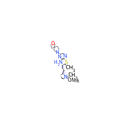 C=C(/C=C\C=C1/CC=CN1C(C)OC)Sc1ncc(N2CCC3(CCOC3)CC2)nc1N